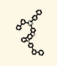 c1ccc(-c2ccc(-c3nc(-c4cccc(-c5ccccc5)c4)nc(-c4ccc5oc6cc7c(cc6c5c4)c4ccccc4n7-c4ccc(-c5cccc(-c6ccccc6)c5)cc4)n3)cc2)cc1